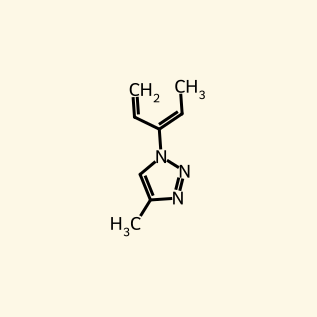 C=C/C(=C\C)n1cc(C)nn1